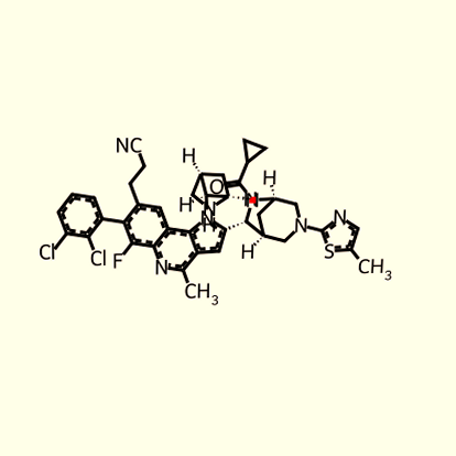 Cc1cnc(N2C[C@@H]3C[C@H](C2)N(C(=O)C2CC2)[C@H]3c2cc3c(C)nc4c(F)c(-c5cccc(Cl)c5Cl)c(CCC#N)cc4c3n2[C@H]2[C@H]3CN[C@@H]2C3)s1